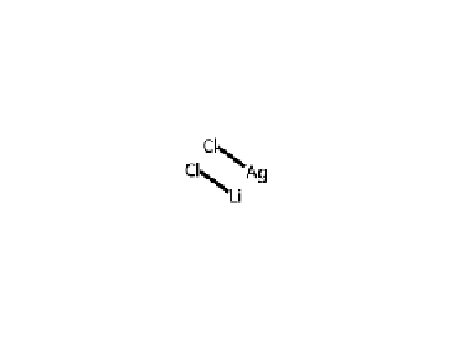 [Cl][Ag].[Li][Cl]